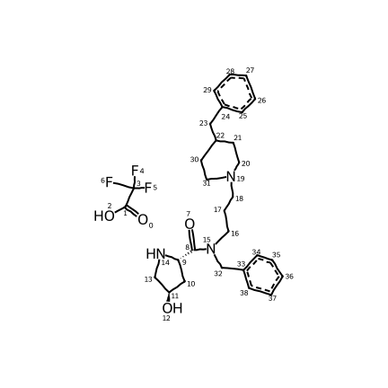 O=C(O)C(F)(F)F.O=C([C@@H]1C[C@@H](O)CN1)N(CCCN1CCC(Cc2ccccc2)CC1)Cc1ccccc1